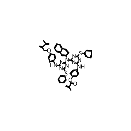 C=C(C)C(=C)COc1ccc(Nc2nc(Sc3ccccc3)nc(N(c3ccc4ccccc4c3)c3nc(Nc4ccc(OC(=O)C(=C)C)cc4)nc(Sc4ccccc4)n3)n2)cc1